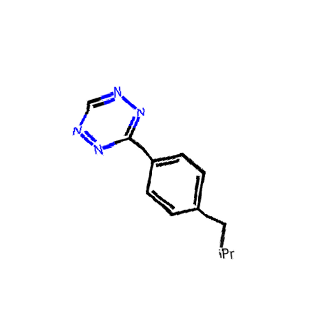 CC(C)Cc1ccc(-c2nncnn2)cc1